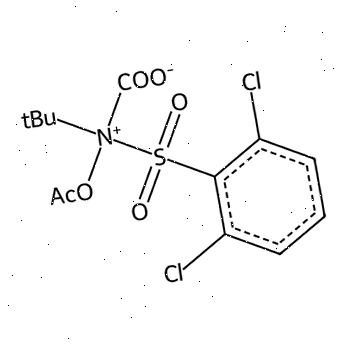 CC(=O)O[N+](C(=O)[O-])(C(C)(C)C)S(=O)(=O)c1c(Cl)cccc1Cl